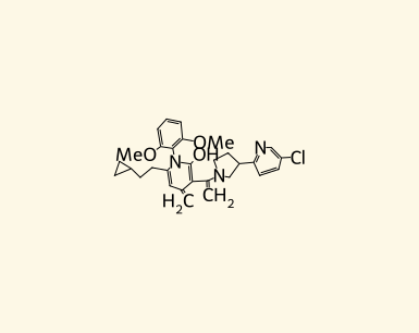 C=C1C=C(CCC2CC2)N(c2c(OC)cccc2OC)C(O)=C1C(=C)N1CCC(c2ccc(Cl)cn2)C1